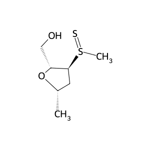 C[C@H]1C[C@H](S(C)=S)[C@@H](CO)O1